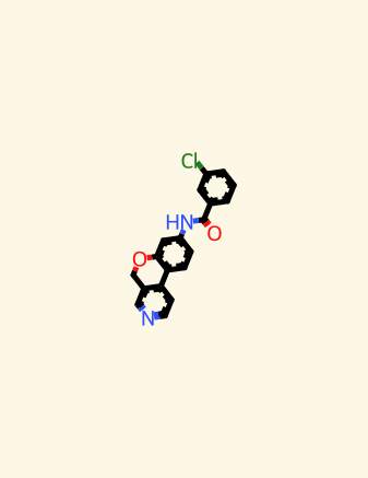 O=C(Nc1ccc2c(c1)OCc1cnccc1-2)c1cccc(Cl)c1